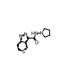 O=C(NN1CCCC1)c1nnc2ccscc1-2